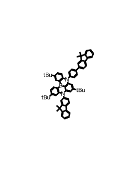 CC(C)(C)c1ccc2c(c1)B1c3ccc(C(C)(C)C)cc3N(c3ccc4c(c3)C(C)(C)c3ccccc3-4)c3cc(C(C)(C)C)cc(c31)N2c1ccc(-c2ccc3c(c2)C(C)(C)c2ccccc2-3)cc1